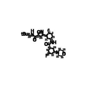 Cc1ccc(NC(=O)c2cc(F)cc(N3CCOCC3)c2)cc1-c1cc(C(=O)NCC(C)(C)C)on1